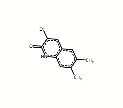 CCc1cc2cc(C)c(C)cc2[nH]c1=O